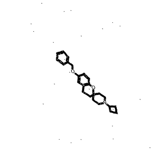 c1ccc(COc2ccc3c(c2)CCC2(CCN(C4CCC4)CC2)O3)cc1